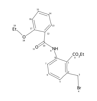 CCOC(=O)c1c(CBr)cccc1NC(=O)c1ccccc1OCC